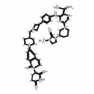 CN1CCN([C@@H]2CCCN(c3cnc(C(N)O)c(Nc4ccc(C5CN(CC6CCN(c7ccc8c(=O)n(C9CCC(=O)NC9=O)ccc8c7)CC6)C5)cc4)n3)C2)C1=O